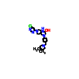 CC1(C)CCN(Cc2ccc(N3CC(O)NC4(CCN(c5cc(Cl)ncn5)CC4)C3)cc2)CC1